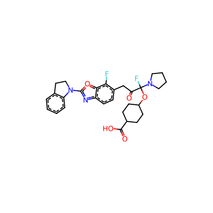 O=C(O)C1CCC(OC(F)(C(=O)Cc2ccc3nc(N4CCc5ccccc54)oc3c2F)N2CCCC2)CC1